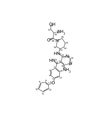 N=C(c1ccc(Oc2ccccc2)cc1)c1c(N)ncnc1NC1CCCN(C(=O)C(N)CO)C1